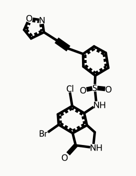 O=C1NCc2c(NS(=O)(=O)c3cccc(C#Cc4ccon4)c3)c(Cl)cc(Br)c21